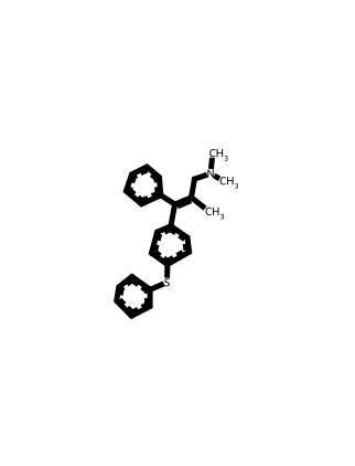 CC(CN(C)C)=C(c1ccccc1)c1ccc(Sc2ccccc2)cc1